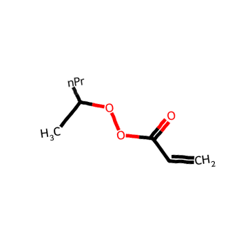 [CH2]CCC(C)OOC(=O)C=C